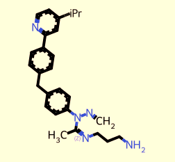 C=NN(/C(C)=N\CCCN)c1ccc(Cc2ccc(-c3cc(C(C)C)ccn3)cc2)cc1